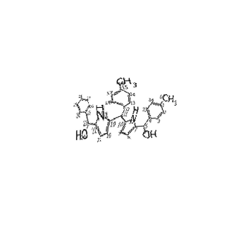 Cc1ccc(C(O)c2ccc(C(c3ccc(C)cc3)c3ccc(C(O)c4ccccc4)[nH]3)[nH]2)cc1